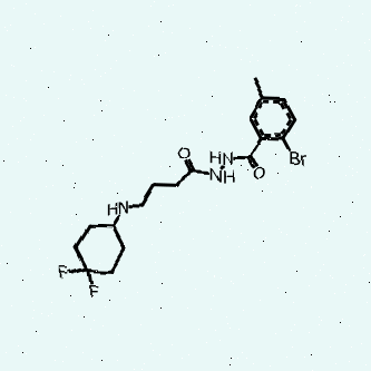 Cc1ccc(Br)c(C(=O)NNC(=O)CCCNC2CCC(F)(F)CC2)c1